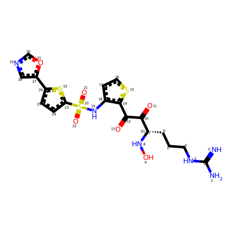 N=C(N)NCCC[C@H](NO)C(=O)C(=O)c1sccc1NS(=O)(=O)c1ccc(-c2cnco2)s1